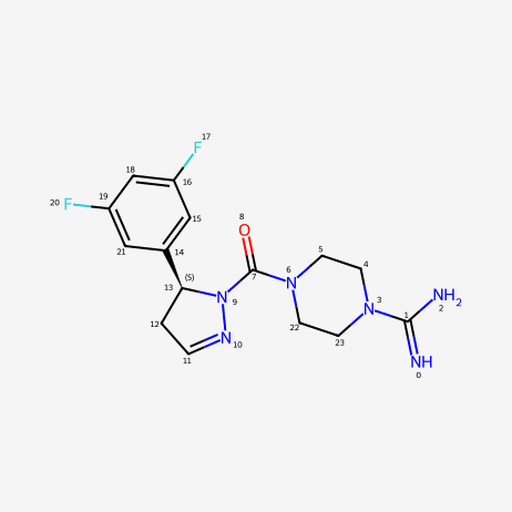 N=C(N)N1CCN(C(=O)N2N=CC[C@H]2c2cc(F)cc(F)c2)CC1